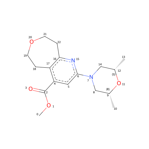 COC(=O)c1cc(N2C[C@@H](C)O[C@@H](C)C2)nc2c1CCOCC2